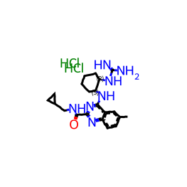 Cc1ccc2nc(C(=O)NCC3CC3)nc(N[C@H]3CCCC[C@H]3NC(=N)N)c2c1.Cl.Cl